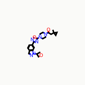 CC1(CC(=O)N2CCN(c3nc(-c4ccc5cnn(C6COC6)c5c4)no3)CC2)CC1